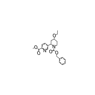 CCOC1CCN(C(=O)OCc2ccccc2)C(c2ccc(C(=O)OC)nc2)C1